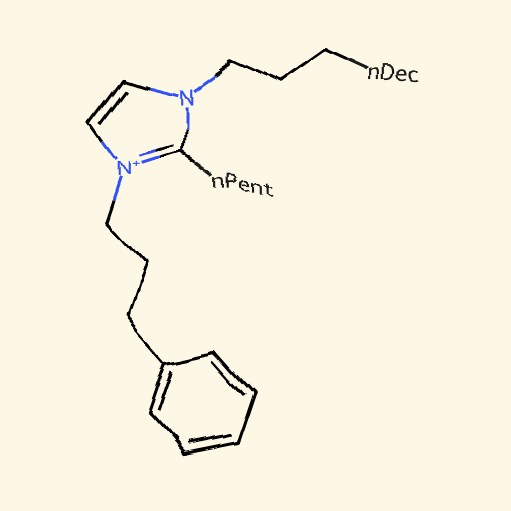 CCCCCCCCCCCCCn1cc[n+](CCCc2ccccc2)c1CCCCC